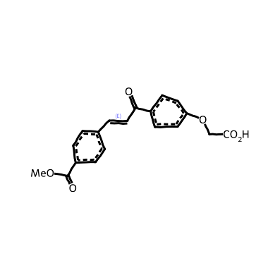 COC(=O)c1ccc(/C=C/C(=O)c2ccc(OCC(=O)O)cc2)cc1